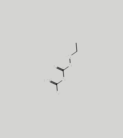 CCNNC(=N)NC(=N)N